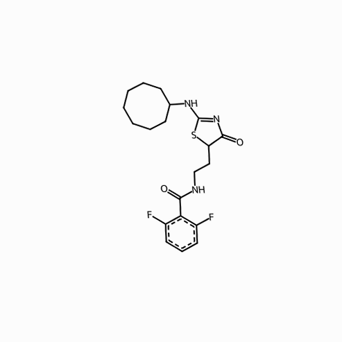 O=C(NCCC1SC(NC2CCCCCCC2)=NC1=O)c1c(F)cccc1F